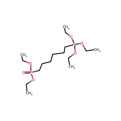 CCO[Si](CCCCCCP(=O)(OCC)OCC)(OCC)OCC